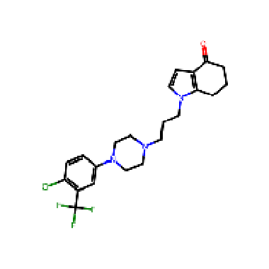 O=C1CCCc2c1ccn2CCCN1CCN(c2ccc(Cl)c(C(F)(F)F)c2)CC1